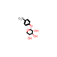 O=[N+]([O-])c1ccc(O[C@H]2OC[C@@H](O)[C@H](O)[C@H]2O)cc1